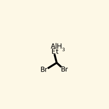 [AlH3].[CH2]CC(Br)Br